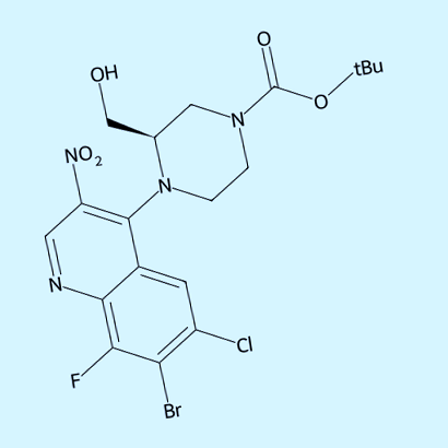 CC(C)(C)OC(=O)N1CCN(c2c([N+](=O)[O-])cnc3c(F)c(Br)c(Cl)cc23)[C@@H](CO)C1